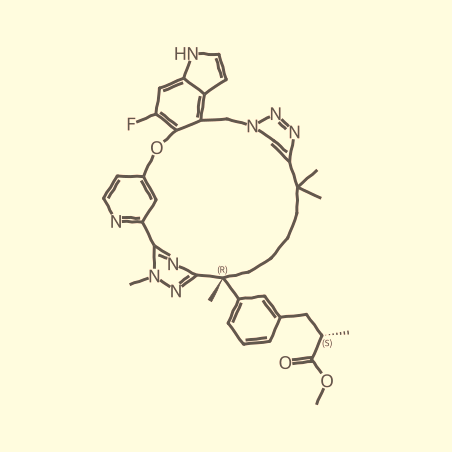 COC(=O)[C@@H](C)Cc1cccc([C@@]2(C)CCCCC(C)(C)c3cn(nn3)Cc3c(c(F)cc4[nH]ccc34)Oc3ccnc(c3)-c3nc2nn3C)c1